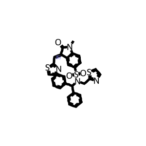 CN1C(=O)/C(=C/c2nccs2)c2cc(S(=O)(=O)N(Cc3nccs3)C(c3ccccc3)c3ccccc3)ccc21